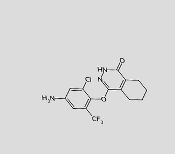 Nc1cc(Cl)c(Oc2n[nH]c(=O)c3c2CCCC3)c(C(F)(F)F)c1